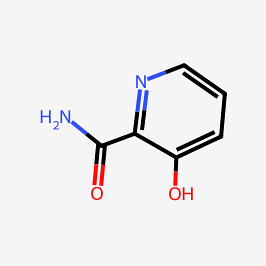 NC(=O)c1ncccc1O